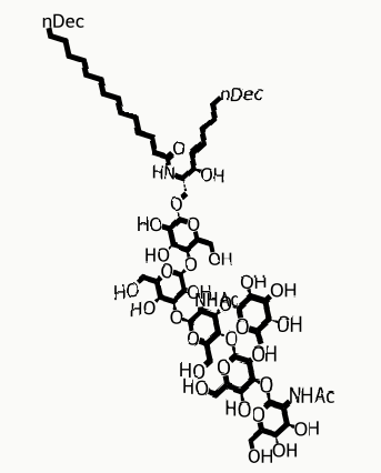 CCCCCCCCCCCCC/C=C/[C@@H](O)[C@H](CO[C@@H]1OC(CO)[C@@H](O[C@@H]2OC(CO)[C@H](O)[C@H](O[C@@H]3OC(CO)[C@@H](O[C@@H]4OC(CO)[C@H](O)[C@H](O[C@@H]5OC(CO)[C@@H](O)[C@H](O)C5NC(C)=O)C4O)[C@H](O[C@H]4OC(C)[C@@H](O)C(O)[C@@H]4O)C3NC(C)=O)C2O)[C@H](O)C1O)NC(=O)CCCCCCCCCCCCCCCCCCCCCCC